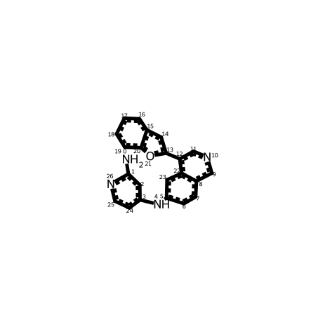 Nc1cc(Nc2ccc3cncc(-c4cc5ccccc5o4)c3c2)ccn1